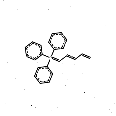 C=CC=CC=P(c1ccccc1)(c1ccccc1)c1ccccc1